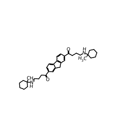 CC1(NCCCC(=O)c2ccc3c(c2)Cc2cc(C(=O)CCCNC4(C)CCCCC4)ccc2-3)CCCCC1